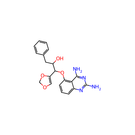 Nc1nc(N)c2c(OC(C3=COCO3)C(O)Cc3ccccc3)cccc2n1